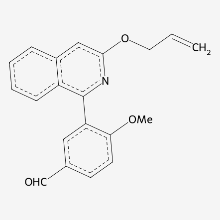 C=CCOc1cc2ccccc2c(-c2cc(C=O)ccc2OC)n1